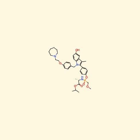 COCP(=O)(N[C@@H](C)C(=O)OC(C)C)Oc1ccc(-c2c(C)c3cc(O)ccc3n2Cc2ccc(OCCN3CCCCCC3)cc2)cc1